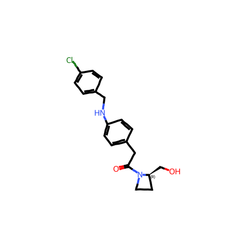 O=C(Cc1ccc(NCc2ccc(Cl)cc2)cc1)N1CC[C@@H]1CO